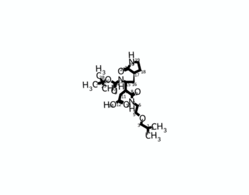 CC(C)COCCNC(=O)C(CC(=O)O)C(C[C@@H]1CCNC1=O)NC(=O)OC(C)(C)C